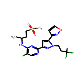 CC(CCS(C)(=O)=O)Nc1nc(-c2cc(-c3ccon3)n(CCC(F)(F)F)n2)ncc1F